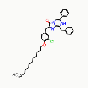 O=c1c(Cc2ccc(OCCCCCCCCCCS(=O)(=O)O)c(Cl)c2)nc2c(Cc3ccccc3)[nH]c(-c3ccccc3)cn1-2